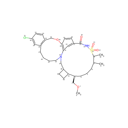 COC[C@@H]1CCCC(C)C(C)S(=O)(=O)NC(=O)c2ccc3c(c2)N(CCCCc2cc(Cl)ccc2CO3)CC2CCC21